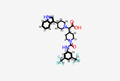 O=C(O)C(C1CCN(C(=O)Nc2cc(C(F)(F)F)cc(C(F)(F)F)c2)CC1)N1CCC(c2c[nH]c3ccccc23)CC1